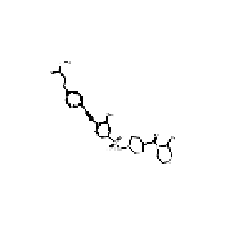 COC(=O)CCc1ccc(C#Cc2ccc(S(=O)(=O)NC3CCC(C(=O)N4CCOCC4C(C)C)CC3)cc2[N+](=O)[O-])cc1